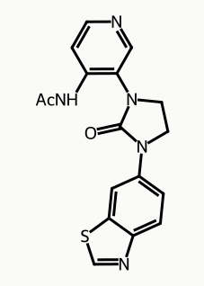 CC(=O)Nc1ccncc1N1CCN(c2ccc3ncsc3c2)C1=O